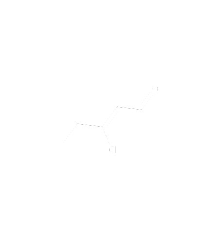 CCC(Cl)=C[C]=O